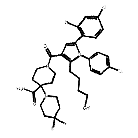 NC(=O)C1(N2CCC(F)(F)CC2)CCN(C(=O)c2cc(-c3ccc(Cl)cc3Cl)n(-c3ccc(Cl)cc3)c2CCCCO)CC1